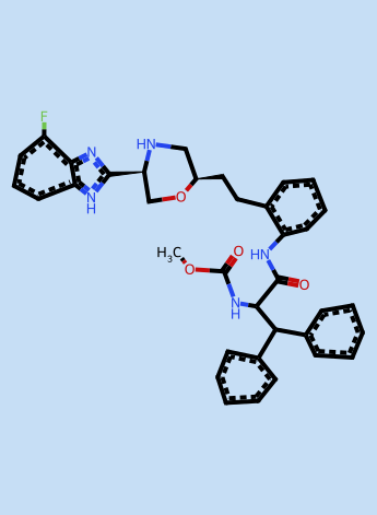 COC(=O)NC(C(=O)Nc1ccccc1CC[C@@H]1CN[C@H](c2nc3c(F)cccc3[nH]2)CO1)C(c1ccccc1)c1ccccc1